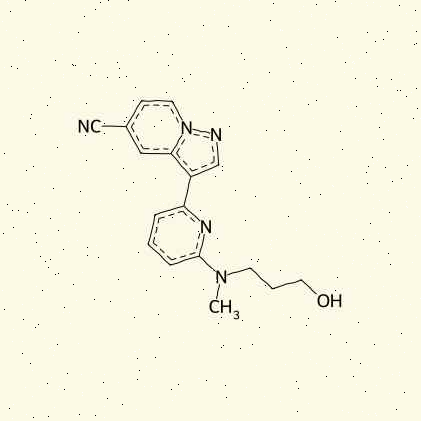 CN(CCCO)c1cccc(-c2cnn3ccc(C#N)cc23)n1